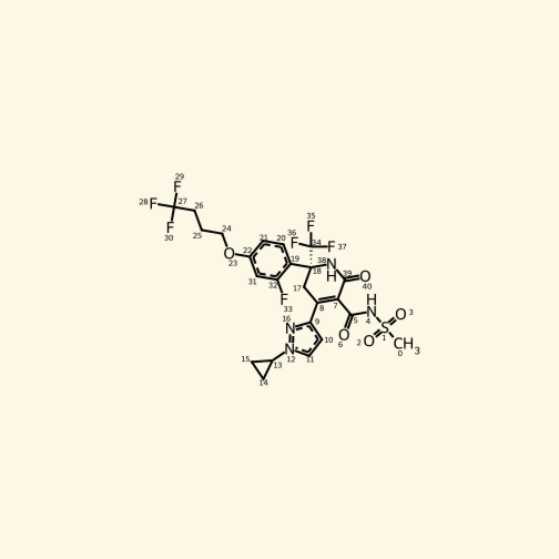 CS(=O)(=O)NC(=O)C1=C(c2ccn(C3CC3)n2)C[C@](c2ccc(OCCCC(F)(F)F)cc2F)(C(F)(F)F)NC1=O